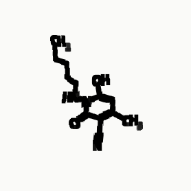 CCCCCNn1c(O)cc(C)c(C#N)c1=O